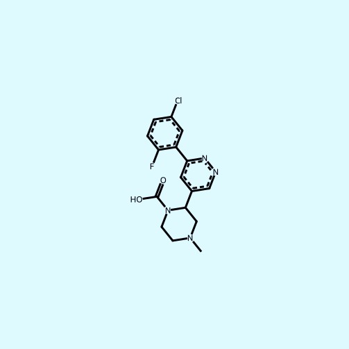 CN1CCN(C(=O)O)C(c2cnnc(-c3cc(Cl)ccc3F)c2)C1